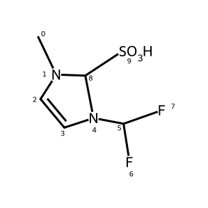 CN1C=CN(C(F)F)C1S(=O)(=O)O